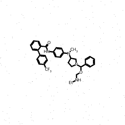 CCNCOC(c1ccccc1)N1CCC(N(C)c2ccc(NC(=O)c3ccccc3-c3ccc(C(F)(F)F)cc3)cc2)C1